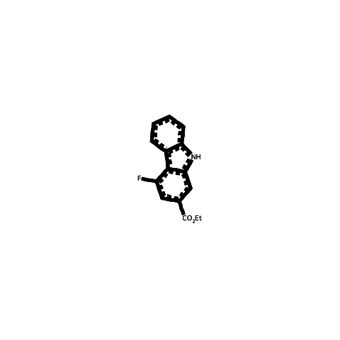 CCOC(=O)c1cc(F)c2c(c1)[nH]c1ccccc12